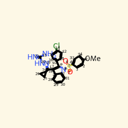 COc1ccc(S(=O)(=O)n2c(-c3ccc(Cl)cc3)c(C(=NNC(=N)N)C3CC3)c3ccccc32)cc1